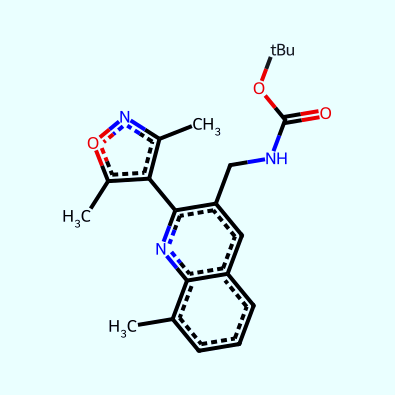 Cc1noc(C)c1-c1nc2c(C)cccc2cc1CNC(=O)OC(C)(C)C